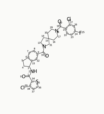 O=C(NC1CCc2ccc(C(=O)N3CCC4(CCN(C(=O)c5ccc(F)cc5Cl)CC4)C3)cc21)c1sccc1Cl